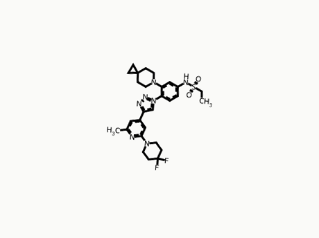 CCS(=O)(=O)Nc1ccc(-n2cc(-c3cc(C)nc(N4CCC(F)(F)CC4)c3)nn2)c(N2CCC3(CC2)CC3)c1